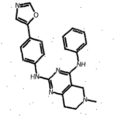 CN1CCc2nc(Nc3ccc(-c4cnco4)cc3)nc(Nc3ccccc3)c2C1